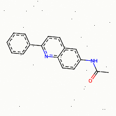 CC(=O)Nc1ccc2nc(-c3ccccc3)ccc2c1